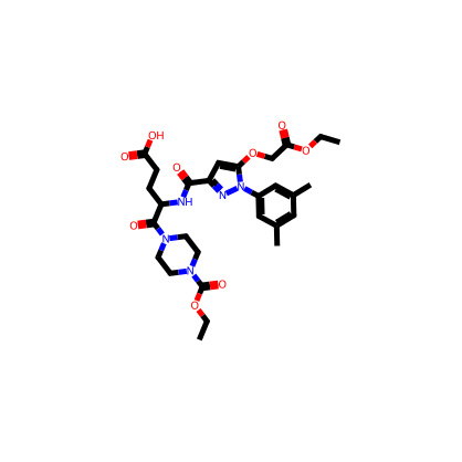 CCOC(=O)COc1cc(C(=O)NC(CCC(=O)O)C(=O)N2CCN(C(=O)OCC)CC2)nn1-c1cc(C)cc(C)c1